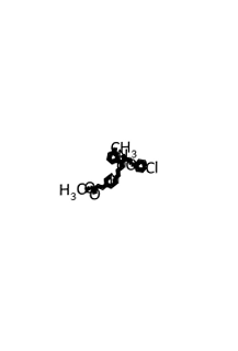 CCOC(=O)CCC1CCN(CCCn2c(COc3ccc(Cl)cc3)nc3c(C)cccc32)CC1